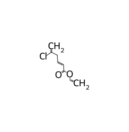 C=COC(=O)C=CCC(=C)Cl